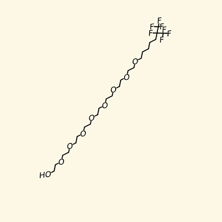 OCCOCCOCCOCCOCCOCCOCCOCCOCCCCCC(F)(C(F)(F)F)C(F)(F)F